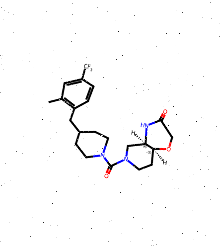 Cc1cc(C(F)(F)F)ccc1CC1CCN(C(=O)N2CC[C@@H]3OCC(=O)N[C@@H]3C2)CC1